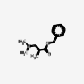 CC(CN(C)C)C(=O)OCc1ccccc1